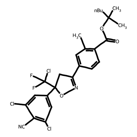 CCCCC(C)(C)OC(=O)c1ccc(C2=NOC(c3cc(Cl)c(C#N)c(Cl)c3)(C(F)(F)Cl)C2)cc1C